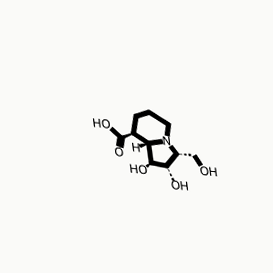 O=C(O)[C@H]1CCCN2[C@@H]1[C@@H](O)[C@@H](O)[C@H]2CO